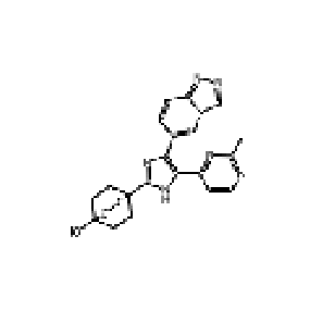 Cc1nccc(-c2[nH]c(C34CCC(O)(CC3)CC4)nc2-c2ccc3nncn3c2)n1